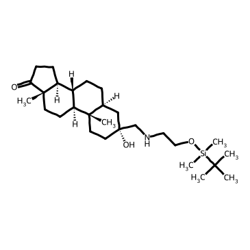 CC(C)(C)[Si](C)(C)OCCNC[C@@]1(O)CC[C@@]2(C)[C@@H](CC[C@@H]3[C@@H]2CC[C@]2(C)C(=O)CC[C@@H]32)C1